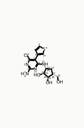 Nc1nc(Cl)c(-c2ccsc2)c(N[C@@H]2C[C@H](CO)[C@@H](O)[C@H]2O)n1